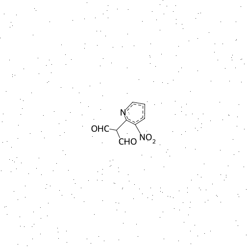 O=CC(C=O)c1ncccc1[N+](=O)[O-]